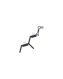 C/C=C(C)/C=N/O